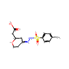 Cc1ccc(S(=O)(=O)N/N=C2/CCOC(CC(=O)O)C2)cc1